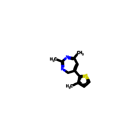 CC1=NC(C)=NCC(c2sccc2C)=C1